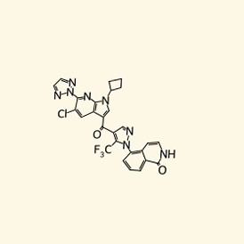 O=C(c1cnn(-c2cccc3c(=O)[nH]ccc23)c1C(F)(F)F)c1cn(C2CCC2)c2nc(-n3nccn3)c(Cl)cc12